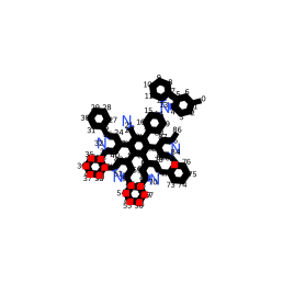 Cc1ccc2c(c1)c1ccccc1n2-c1ccc(-c2c(C#N)c(-c3cc(-c4ccccc4)nc(-c4ccccc4)c3)c(-c3cc(-c4ccccc4)nc(-c4ccccc4)c3)c(-c3cc(-c4ccccc4)nc(-c4ccccc4)c3)c2-c2cc(C)nc(C)c2)cc1